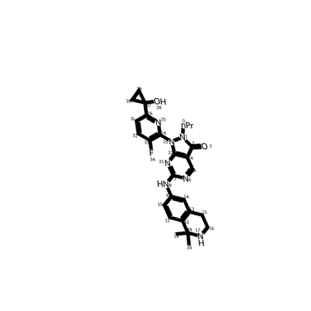 CCCn1c(=O)c2cnc(Nc3ccc4c(c3)CCNC4(C)C)nc2n1-c1nc(C2(O)CC2)ccc1F